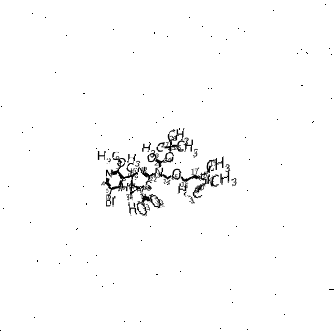 COc1ncc(Br)cc1[C@@]1(C)N=C(N(COCC[Si](C)(C)C)C(=O)OC(C)(C)C)S[C@@]2(C(=O)O)C[C@H]21